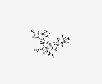 CNC(=O)c1c(-c2ccc(F)cc2)oc2c1cc(-c1cccc(C(=O)NC(C)(C)C)c1)c1c2c(C)cn1SC